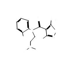 CCc1noc(C)c1C(=O)N(CCN(C)C)c1ccccc1C